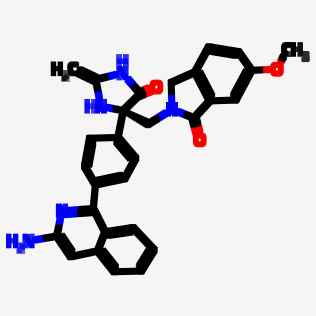 C=C1NC(=O)[C@](CN2Cc3ccc(OC)cc3C2=O)(c2ccc(-c3nc(N)cc4ccccc34)cc2)N1